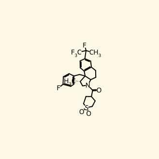 C[C@H]1CN(C(=O)C2CCS(=O)(=O)CC2)C2CCc3cc(C(C)(F)C(F)(F)F)ccc3C21Cc1ccc(F)cc1